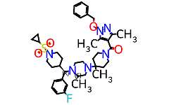 Cc1nn(OCc2ccccc2)c(C)c1C(=O)N1CCC(C)(N2CCN([C@@H](c3cccc(F)c3)C3CCN(S(=O)(=O)C4CC4)CC3)[C@@H](C)C2)CC1